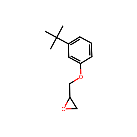 CC(C)(C)c1cccc(OCC2CO2)c1